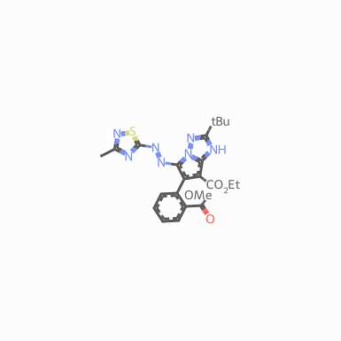 CCOC(=O)c1c(-c2ccccc2C(=O)OC)c(/N=N/c2nc(C)ns2)n2nc(C(C)(C)C)[nH]c12